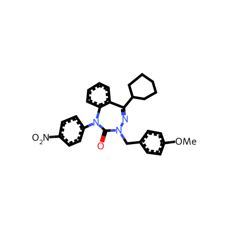 COc1ccc(CN2N=C(C3CCCCC3)c3ccccc3N(c3ccc([N+](=O)[O-])cc3)C2=O)cc1